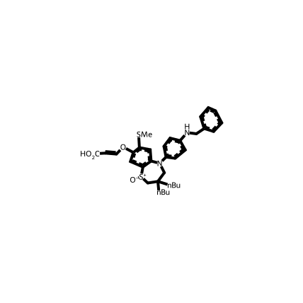 CCCCC1(CCCC)CN(c2ccc(NCc3ccccc3)cc2)c2cc(SC)c(O/C=C/C(=O)O)cc2[S+]([O-])C1